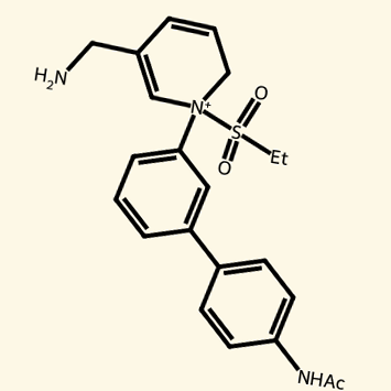 CCS(=O)(=O)[N+]1(c2cccc(-c3ccc(NC(C)=O)cc3)c2)C=C(CN)C=CC1